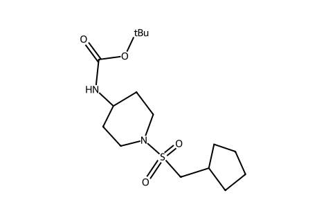 CC(C)(C)OC(=O)NC1CCN(S(=O)(=O)CC2CCCC2)CC1